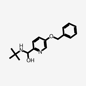 CC(C)(C)NC(O)c1ccc(OCc2ccccc2)cn1